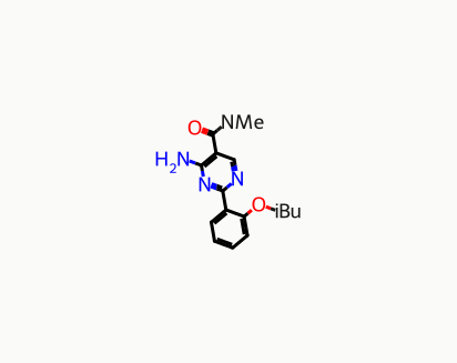 CCC(C)Oc1ccccc1-c1ncc(C(=O)NC)c(N)n1